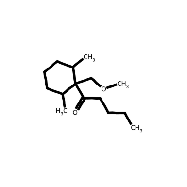 CCCCC(=O)C1(COC)C(C)CCCC1C